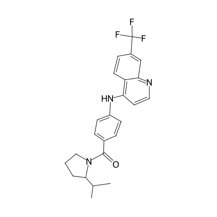 CC(C)C1CCCN1C(=O)c1ccc(Nc2ccnc3cc(C(F)(F)F)ccc23)cc1